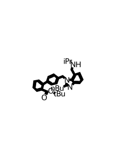 CCCCc1nc2cccc(CNC(C)C)c2n1Cc1ccc(-c2ccccc2C(=O)OC(C)(C)C)cc1